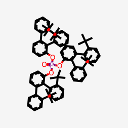 CC(C)(C)c1ccccc1-c1cccc(OP(=O)(Oc2cccc(-c3ccccc3C(C)(C)C)c2-c2ccccc2C(C)(C)C)Oc2cccc(-c3ccccc3C(C)(C)C)c2-c2ccccc2C(C)(C)C)c1-c1ccccc1C(C)(C)C